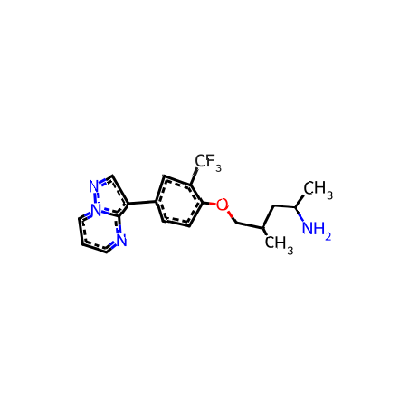 CC(N)CC(C)COc1ccc(-c2cnn3cccnc23)cc1C(F)(F)F